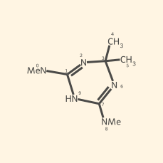 CNC1=NC(C)(C)N=C(NC)N1